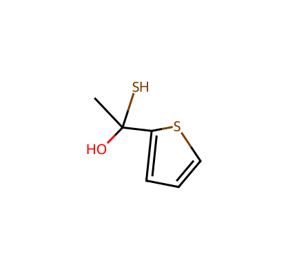 CC(O)(S)c1cccs1